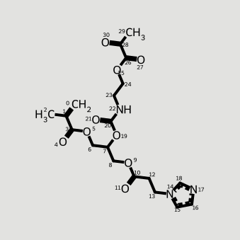 C=C(C)C(=O)OCC(COC(=O)CCn1ccnc1)OC(=O)NCCOC(=O)C(C)=O